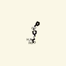 N[C@@H](CSCC1CCN(C(=O)OCc2ccccc2)CC1)C(=O)O